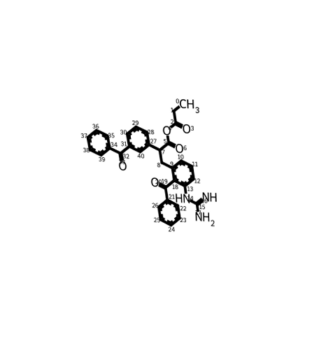 CCC(=O)OC(=O)C(Cc1cccc(NC(=N)N)c1C(=O)c1ccccc1)c1cccc(C(=O)c2ccccc2)c1